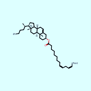 CCCCC/C=C\C/C=C\CCCCCCCC(=O)O[C@H]1CC[C@@]2(C)C(=CC[C@H]3[C@@H]4CC[C@H]([C@H](C)CCCC(C)C)[C@@]4(C)CC[C@@H]32)C1